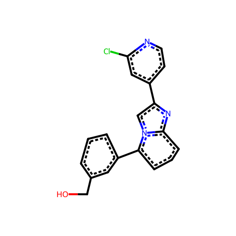 OCc1cccc(-c2cccc3nc(-c4ccnc(Cl)c4)cn23)c1